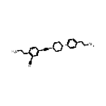 CCCc1ccc([C@H]2CC[C@H](C#Cc3ccc(CCC)c(C#N)c3)CC2)cc1